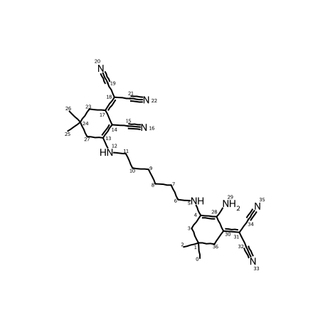 CC1(C)CC(NCCCCCCNC2=C(C#N)C(=C(C#N)C#N)CC(C)(C)C2)=C(N)C(=C(C#N)C#N)C1